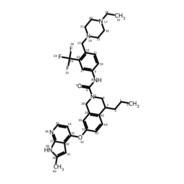 CCCC1CN(C(=O)Nc2ccc(CN3CCN(CC)CC3)c(C(F)(F)F)c2)Cc2cc(Oc3ccnc4[nH]c(C)cc34)ccc21